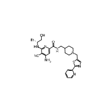 CC[C@H](CO)Nc1nc(C(=O)NCC2CCN(Cc3cnc(-c4ccccn4)s3)CC2)cc(N)c1C#N